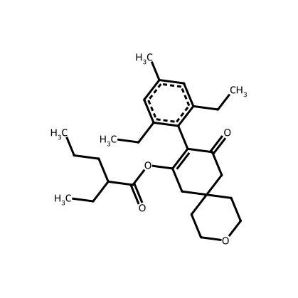 CCCC(CC)C(=O)OC1=C(c2c(CC)cc(C)cc2CC)C(=O)CC2(CCOCC2)C1